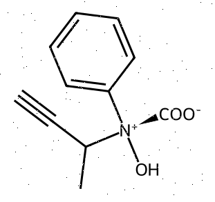 C#CC(C)[N@+](O)(C(=O)[O-])c1ccccc1